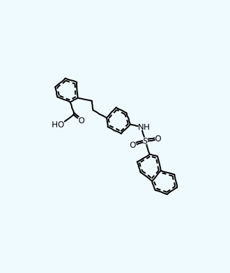 O=C(O)c1ccccc1CCc1ccc(NS(=O)(=O)c2ccc3ccccc3c2)cc1